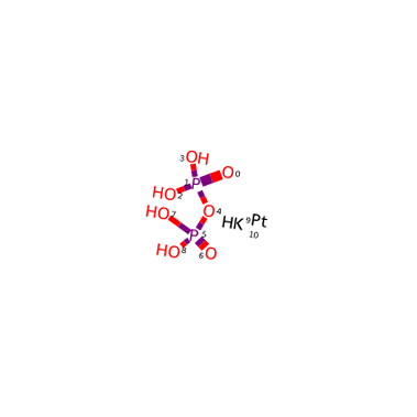 O=P(O)(O)OP(=O)(O)O.[KH].[Pt]